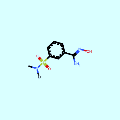 CCN(C)S(=O)(=O)c1cccc(C(N)=NO)c1